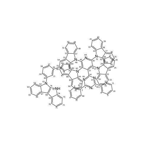 c1ccc(-c2nc(-c3ccccc3)nc(-c3c(-n4c5ccccc5c5ccccc54)c(-n4c5ccccc5c5ccccc54)nc(-n4c5ccccc5c5cc(-c6cccc(-n7c8ccccc8c8c9ccccc9[nH]c87)c6)ccc54)c3-n3c4ccccc4c4ccccc43)n2)cc1